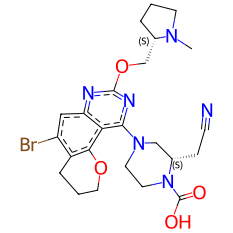 CN1CCC[C@H]1COc1nc(N2CCN(C(=O)O)[C@@H](CC#N)C2)c2c3c(c(Br)cc2n1)CCCO3